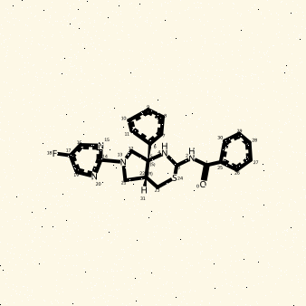 O=C(NC1N[C@@]2(c3ccccc3)CN(c3ncc(F)cn3)C[C@H]2CS1)c1ccccc1